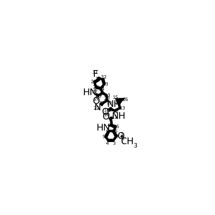 COc1cccc2[nH]c(C(=O)NC(CC3CC3)C(=O)NC(C#N)CC3C(=O)Nc4cc(F)ccc43)cc12